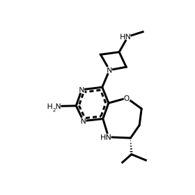 CNC1CN(c2nc(N)nc3c2OCC[C@H](C(C)C)N3)C1